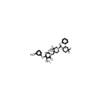 Nc1c(Oc2cccc(O)c2)ncn(C[C@@]2(O)CCN(C(=O)[C@@H]3CCC(F)(F)C[C@H]3c3ccccc3)CC2(F)F)c1=O